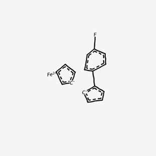 Fc1ccc(-c2ccc[cH-]2)cc1.[Fe+2].c1cc[cH-]c1